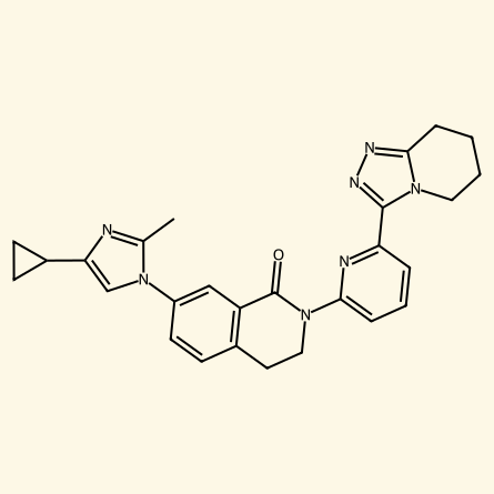 Cc1nc(C2CC2)cn1-c1ccc2c(c1)C(=O)N(c1cccc(-c3nnc4n3CCCC4)n1)CC2